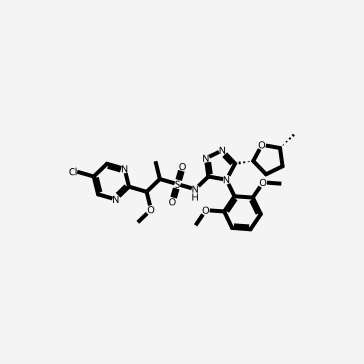 COc1cccc(OC)c1-n1c(NS(=O)(=O)C(C)C(OC)c2ncc(Cl)cn2)nnc1[C@H]1CC[C@@H](C)O1